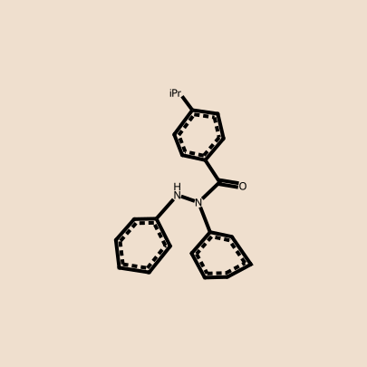 CC(C)c1ccc(C(=O)N(Nc2ccccc2)c2ccccc2)cc1